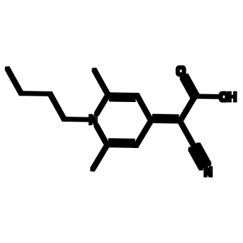 CCCCN1C(C)=CC(=C(C#N)C(=O)O)C=C1C